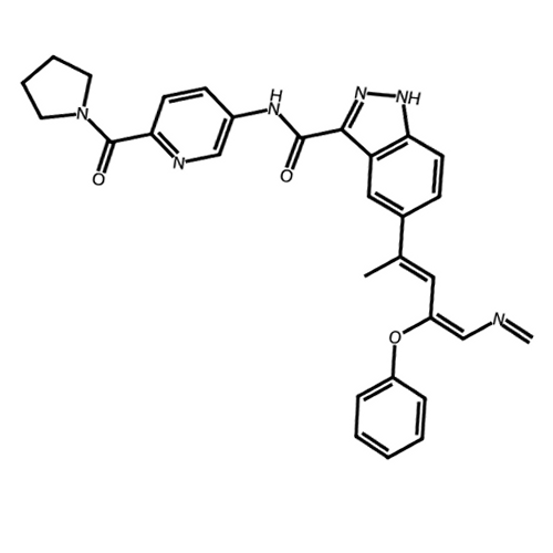 C=N/C=C(\C=C(/C)c1ccc2[nH]nc(C(=O)Nc3ccc(C(=O)N4CCCC4)nc3)c2c1)Oc1ccccc1